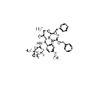 COC(=O)[C@@H]([C@H](NC(=O)OC(C)(C)C)c1ccc(OC)cc1)N(NC(=O)OCc1ccccc1)C(=O)OCc1ccccc1